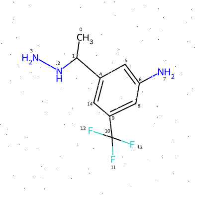 CC(NN)c1cc(N)cc(C(F)(F)F)c1